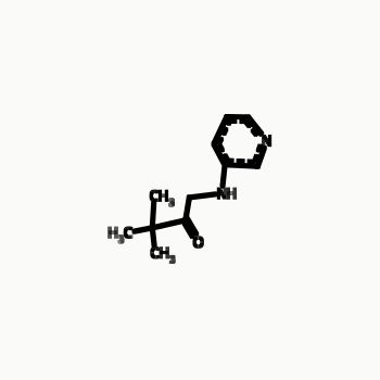 CC(C)(C)C(=O)CNc1cccnc1